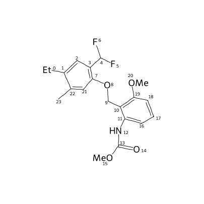 CCc1cc(C(F)F)c(OCc2c(NC(=O)OC)cccc2OC)cc1C